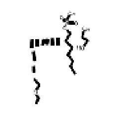 C=C.C=C.C=C.C=C.C=C.C=C.C=C.C=C.CCCCCCCOS(=O)(=O)O.CCOCC.OCCO